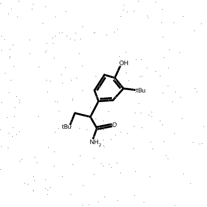 CC(C)(C)CC(C(N)=O)c1ccc(O)c(C(C)(C)C)c1